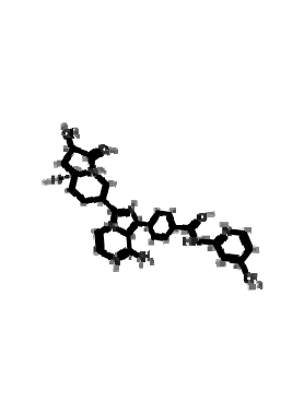 Nc1nccn2c([C@H]3CC[C@H]4CC(O)C(=O)N4C3)nc(-c3ccc(C(=O)Nc4cc(C(F)(F)F)ccn4)cc3)c12